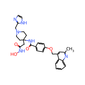 Cc1cc(COc2ccc(C(=O)NC3(CC(=O)NO)CCN(Cc4ncc[nH]4)CC3)cc2)c2ccccc2n1